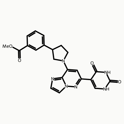 COC(=O)c1cccc(C2CCN(c3cc(-c4c[nH]c(=O)[nH]c4=O)nn4ccnc34)C2)c1